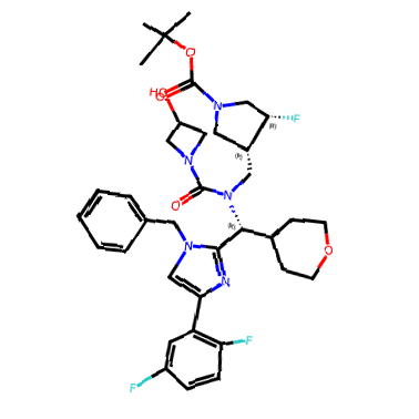 CC(C)(C)OC(=O)N1C[C@@H](CN(C(=O)N2CC(O)C2)[C@@H](c2nc(-c3cc(F)ccc3F)cn2Cc2ccccc2)C2CCOCC2)[C@@H](F)C1